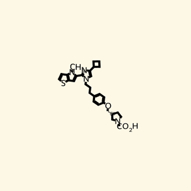 Cn1c(-c2nc(C3CCC3)cn2CCCc2ccc(OC[C@@H]3CCN(C(=O)O)C3)cc2)cc2sccc21